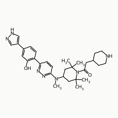 CN(c1ccc(-c2ccc(-c3cn[nH]c3)cc2O)nn1)C1CC(C)(C)N(C(=O)CC2CCNCC2)C(C)(C)C1